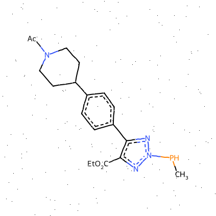 CCOC(=O)c1nn(PC)nc1-c1ccc(C2CCN(C(C)=O)CC2)cc1